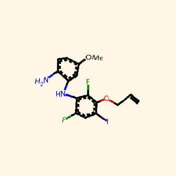 C=CCOc1c(I)cc(F)c(Nc2cc(OC)ccc2N)c1F